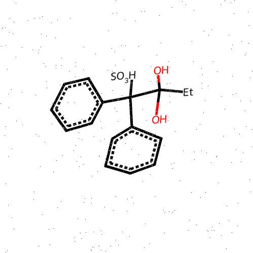 CCC(O)(O)C(c1ccccc1)(c1ccccc1)S(=O)(=O)O